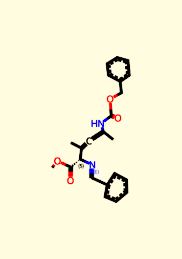 COC(=O)[C@@H](/N=C/c1ccccc1)C(C)=C=C(C)NC(=O)OCc1ccccc1